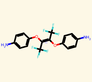 Nc1ccc(O/C(=C(/Oc2ccc(N)cc2)C(F)(F)F)C(F)(F)F)cc1